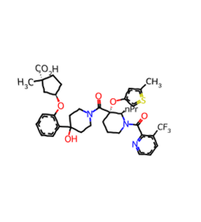 CCC[C@H]1N(C(=O)c2ncccc2C(F)(F)F)CCC[C@@]1(Oc1csc(C)c1)C(=O)N1CCC(O)(c2ccccc2O[C@@H]2CC[C@@](C)(C(=O)O)C2)CC1